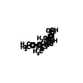 COc1cc(C(=O)O)c(F)cc1NS(=O)(=O)c1csc(-c2ccc(C3CCC(C)(C)CC3)c(F)c2OC)n1